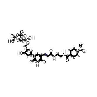 O=C(/C=C/c1cn([C@H]2CC(O)[C@@H](COP(=O)(O)OP(=O)(O)OP(=O)(O)O)O2)c(=O)[nH]c1=O)NCCNC(=O)C1CCN([SH](=O)=O)CC1